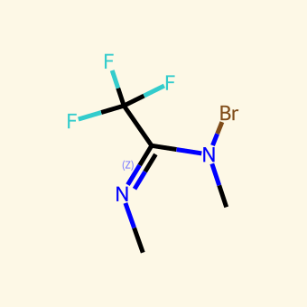 C/N=C(\N(C)Br)C(F)(F)F